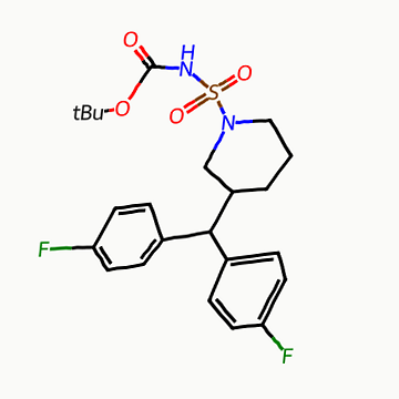 CC(C)(C)OC(=O)NS(=O)(=O)N1CCCC(C(c2ccc(F)cc2)c2ccc(F)cc2)C1